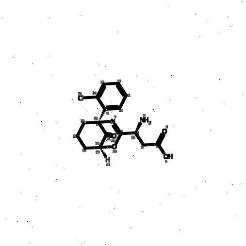 N[C@@H](CC(=O)O)C1=N[C@]2(c3ccccc3Cl)CCC[C@H](O1)C2=O